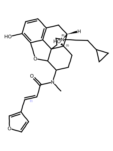 CN(C(=O)/C=C/c1ccoc1)C1CC[C@@]2(O)[C@H]3Cc4ccc(O)c5c4C2(CCN3CC2CC2)C1O5